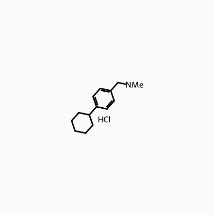 CNCc1ccc(C2CCCCC2)cc1.Cl